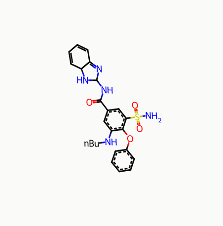 CCCCNc1cc(C(=O)NC2N=C3C=CC=CC3N2)cc(S(N)(=O)=O)c1Oc1ccccc1